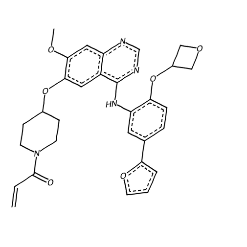 C=CC(=O)N1CCC(Oc2cc3c(Nc4cc(-c5ccco5)ccc4OC4COC4)ncnc3cc2OC)CC1